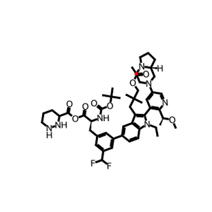 CCn1c(-c2cc(N3CCN4CCC[C@@H]4C3)cnc2[C@H](C)OC)c(CC(C)(C)COC(C)=O)c2cc(-c3cc(C[C@H](NC(=O)OC(C)(C)C)C(=O)OC(=O)C4CCCNN4)cc(C(F)F)c3)ccc21